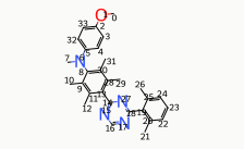 COc1ccc(N(C)c2c(C)c(C)c(-c3ncnc(-c4c(C)cccc4C)n3)c(C)c2C)cc1